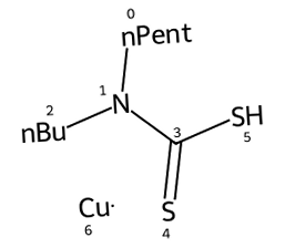 CCCCCN(CCCC)C(=S)S.[Cu]